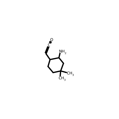 CC1(C)CCC(C=C=O)C(N)C1